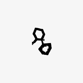 FC1CCCC[C@H]1c1ccccc1